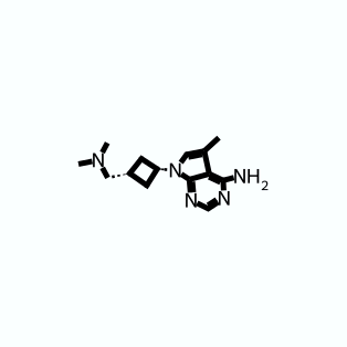 Cc1cn([C@H]2C[C@@H](CN(C)C)C2)c2ncnc(N)c12